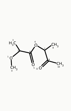 COC(C)C(=O)OC(C)C(C)=O